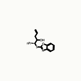 C=CC[C](O)[C@H](CCC)Sc1nc2ccccc2o1